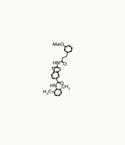 COc1cccc(CCC(=O)Nc2nc3ccc(C(=O)Nc4c(C)cccc4C)cc3s2)c1